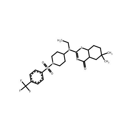 CCN(C1=NC(=O)C2CC(C)(C)CCC2S1)C1CCN(S(=O)(=O)c2ccc(C(F)(F)F)cc2)CC1